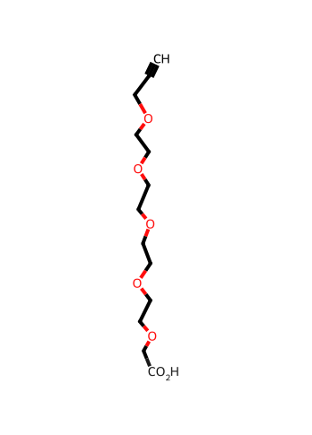 C#CCOCCOCCOCCOCCOCC(=O)O